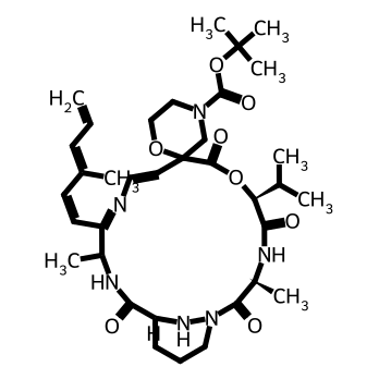 C=C/C=C(C)/C=C\C1=N/C=C/C2(CN(C(=O)OC(C)(C)C)CCO2)C(=O)O[C@@H](C(C)C)C(=O)N[C@@H](C)C(=O)N2CCC[C@H](N2)C(=O)NC1C